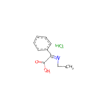 CCN=C(C(=O)O)c1ccccc1.Cl